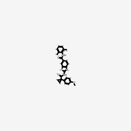 COc1ccc(C2(C(=O)Nc3nc4ccc(C(=O)Nc5c(C)cccc5C)cc4s3)CC2)cc1